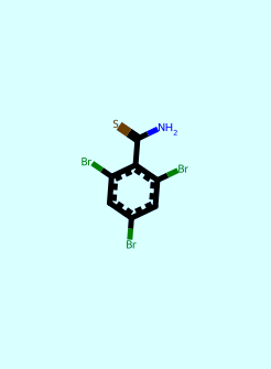 NC(=S)c1c(Br)cc(Br)cc1Br